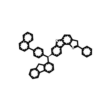 c1ccc(C2=Nc3c(ccc4oc5cc([C@H](c6ccc(-c7cccc8ccccc78)cc6)c6cccc7c6Cc6ccccc6-7)ccc5c34)C2)cc1